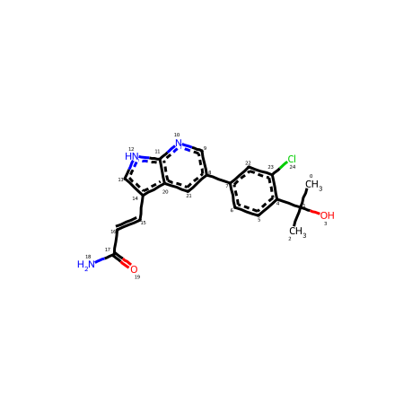 CC(C)(O)c1ccc(-c2cnc3[nH]cc(C=CC(N)=O)c3c2)cc1Cl